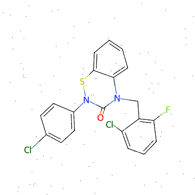 O=C1N(Cc2c(F)cccc2Cl)c2ccccc2SN1c1ccc(Cl)cc1